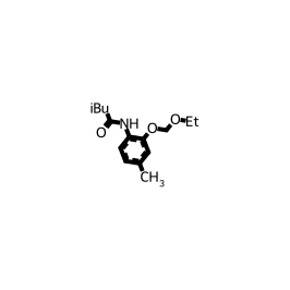 CCOCOc1cc(C)ccc1NC(=O)C(C)CC